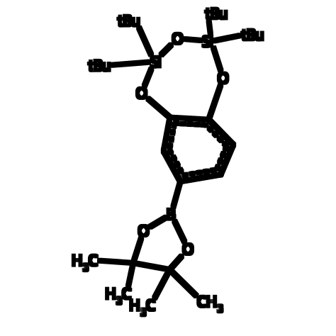 CC1(C)OB(c2ccc3c(c2)O[Si](C(C)(C)C)(C(C)(C)C)O[Si](C(C)(C)C)(C(C)(C)C)O3)OC1(C)C